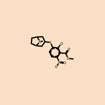 COC(=O)c1c([N+](=O)[O-])ccc(SC2CC3CCC(C2)N3C)c1Cl